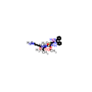 CC[C@H](C)[C@H](NC(=O)CCCCCNC)C(=O)N(C)[C@H](C[C@@H](OC(C)=O)c1nc(C(=O)N[C@@H](c2ccccc2)[C@@H](N)c2ccccc2)cs1)C(C)C